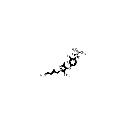 Cc1nn(CC(F)=CCN)c(C)c1Oc1ccc(S(=O)(=O)N(C)C)c(Cl)c1